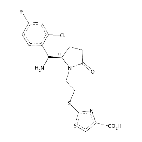 NC(c1ccc(F)cc1Cl)[C@H]1CCC(=O)N1CCSc1nc(C(=O)O)cs1